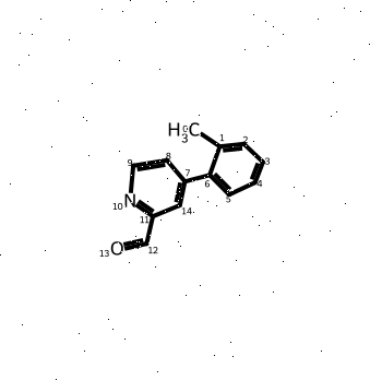 Cc1ccccc1-c1ccnc(C=O)c1